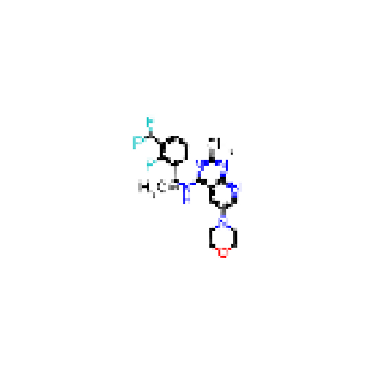 Cc1nc(N[C@H](C)c2cccc(C(F)F)c2F)c2cc(N3CCOCC3)cnc2n1